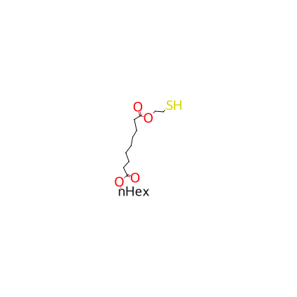 CCCCCCOC(=O)CCCCCCCC(=O)OCCS